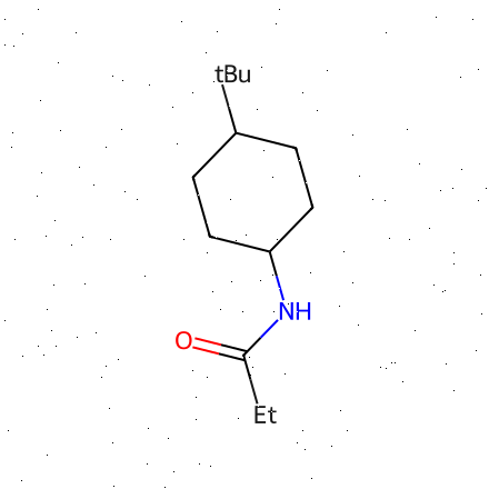 CCC(=O)NC1CCC(C(C)(C)C)CC1